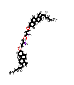 CC(C)CCC[C@@H](C)[C@H]1CCC2C3CC=C4C[C@H](OCCC(I)COCC(I)CCO[C@H]5CC[C@@]6(C)C(=CCC7C6CC[C@@]6(C)C7CC[C@@H]6[C@H](C)CCCC(C)C)C5)CC[C@]4(C)C3CC[C@@]21C